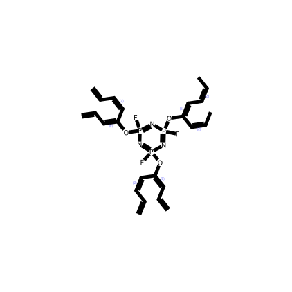 C=C/C=C\C(=C/C=C)OP1(F)=NP(F)(OC(/C=C\C=C)=C/C=C)=NP(F)(OC(/C=C\C)=C/C=C\C)=N1